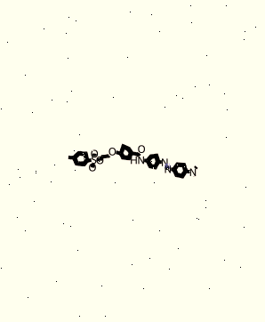 Cc1ccc(S(=O)(=O)OCCOc2ccc(C(=O)Nc3ccc(/N=N/c4ccc(N(C)C)cc4)cc3)cc2)cc1